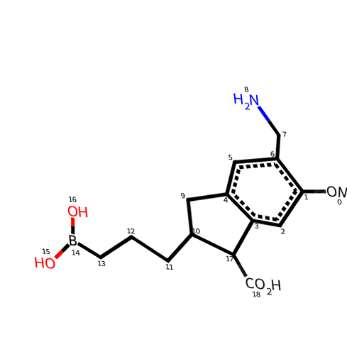 COc1cc2c(cc1CN)CC(CCCB(O)O)C2C(=O)O